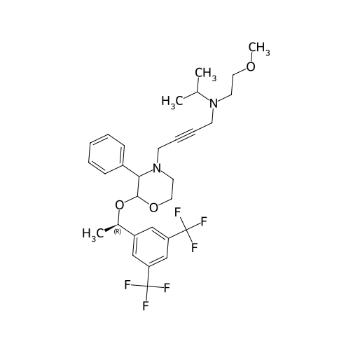 COCCN(CC#CCN1CCOC(O[C@H](C)c2cc(C(F)(F)F)cc(C(F)(F)F)c2)C1c1ccccc1)C(C)C